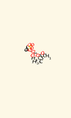 CCC(C)(C)C(=O)OCC(=O)OCOC1C2CC3C1OS(=O)(=O)C3C2